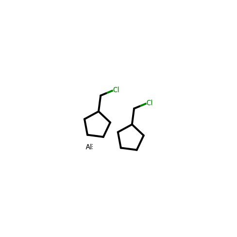 ClCC1CCCC1.ClCC1CCCC1.[Al]